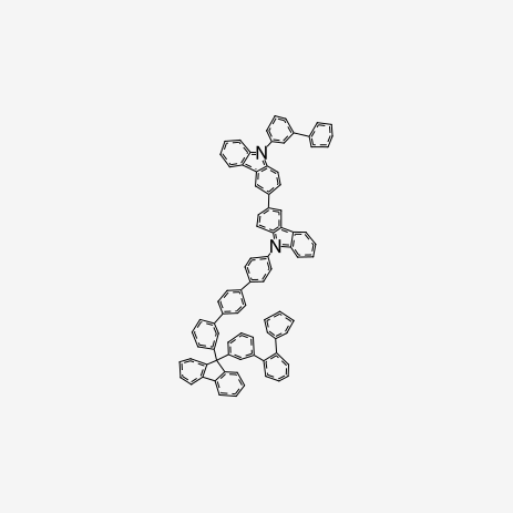 c1ccc(-c2cccc(-n3c4ccccc4c4cc(-c5ccc6c(c5)c5ccccc5n6-c5ccc(-c6ccc(-c7cccc(C8(c9cccc(-c%10ccccc%10-c%10ccccc%10)c9)c9ccccc9-c9ccccc98)c7)cc6)cc5)ccc43)c2)cc1